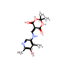 Cc1ncc(NC=C2C(=O)OC(C)(C)OC2=O)c(C)c1Br